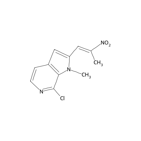 CC(=Cc1cc2ccnc(Cl)c2n1C)[N+](=O)[O-]